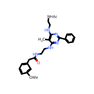 COc1cccc(CC(=O)NCCNc2nc(-c3ccccc3)nc(NCCNC(C)=O)c2C)c1